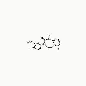 CSc1cc(N2CCc3c(F)cccc3NC2=O)ccc1C